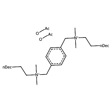 CC(=O)[O-].CC(=O)[O-].CCCCCCCCCCCC[N+](C)(C)Cc1ccc(C[N+](C)(C)CCCCCCCCCCCC)cc1